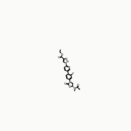 CCOC(=O)c1cn(-c2ccc(-c3ccc(N4C[C@@H](N(C)C(C)=O)OC4=O)cc3F)cn2)nn1